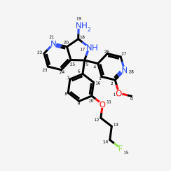 COc1cc(C2(c3cccc(OCCCF)c3)NC(N)c3ncccc32)ccn1